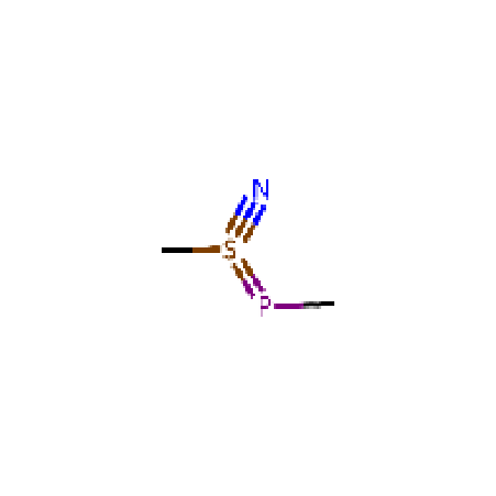 CP=S(C)#N